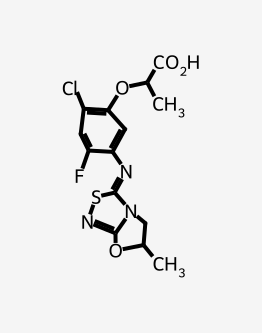 CC1Cn2c(ns/c2=N\c2cc(OC(C)C(=O)O)c(Cl)cc2F)O1